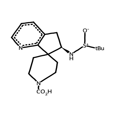 CC(C)(C)[S+]([O-])N[C@@H]1Cc2cccnc2C12CCN(C(=O)O)CC2